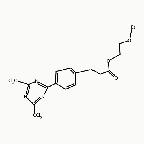 CCOCCOC(=O)CSc1ccc(-c2nc(C(Cl)(Cl)Cl)nc(C(Cl)(Cl)Cl)n2)cc1